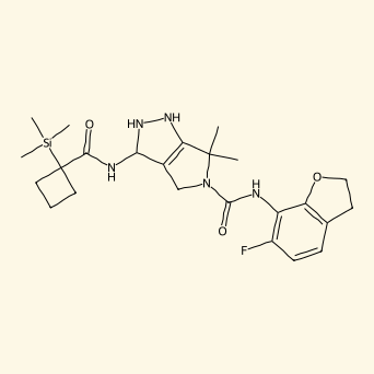 CC1(C)C2=C(CN1C(=O)Nc1c(F)ccc3c1OCC3)C(NC(=O)C1([Si](C)(C)C)CCC1)NN2